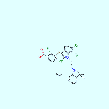 O=C([O-])c1cccc(Sc2c(Cl)n(CCN3CC4(CC4)c4ccccc43)c3c(F)c(Cl)ccc23)c1F.[Na+]